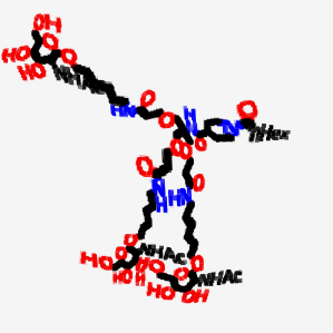 CCCCCCC(=O)N1CCC(C(=O)NC(COCCC(=O)NCCCCCCOC2OC(CO)C(O)C(O)C2NC(C)=O)(COCCC(=O)NCCCCCCOC2OC(CO)C(O)C(O)C2NC(C)=O)COCCC(=O)NCCCCCCOC2OC(CO)C(O)C(O)C2NC(C)=O)CC1